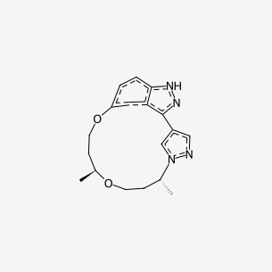 C[C@@H]1CCO[C@@H](C)CCOc2ccc3[nH]nc(c3c2)-c2cnn1c2